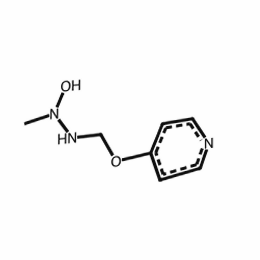 CN(O)NCOc1ccncc1